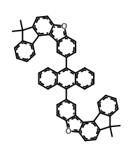 CC1(C)c2ccccc2-c2c1ccc1oc3ccc(-c4c5ccccc5c(-c5ccc6oc7ccc8c(c7c6c5)-c5ccccc5C8(C)C)c5ccccc45)cc3c21